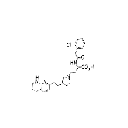 O=C(Cc1ccccc1Cl)NC(CCN1CCC(CCc2ccc3c(n2)NCCC3)C1)C(=O)O